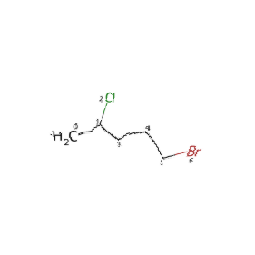 [CH2]C(Cl)CCCBr